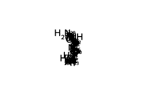 Cc1cc(NCC(O)(CN(C)C)C(F)(F)F)c2cnn(-c3cccc(C(=O)N[C@H](C)C(N)=O)c3)c2c1